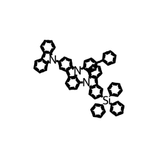 c1ccc(-c2ccc(-n3c4ccc(-n5c6ccccc6c6ccccc65)cc4c4cccc(-n5c6ccccc6c6cc([Si](c7ccccc7)(c7ccccc7)c7ccccc7)ccc65)c43)cc2)cc1